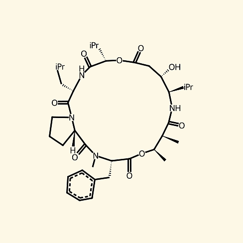 CC(C)C[C@@H]1NC(=O)[C@H](C(C)C)OC(=O)C[C@H](O)[C@@H](C(C)C)NC(=O)[C@@H](C)[C@@H](C)OC(=O)[C@H](Cc2ccccc2)N(C)C(=O)[C@@H]2CCCN2C1=O